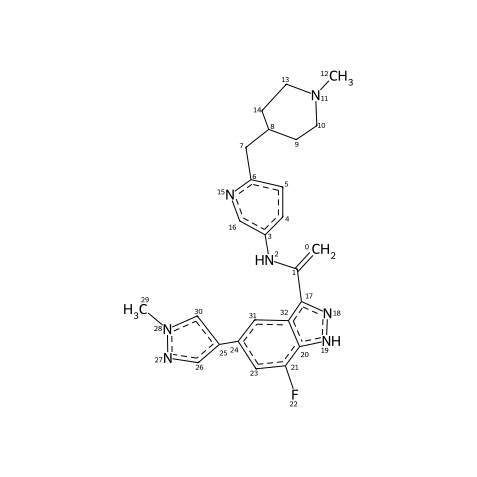 C=C(Nc1ccc(CC2CCN(C)CC2)nc1)c1n[nH]c2c(F)cc(-c3cnn(C)c3)cc12